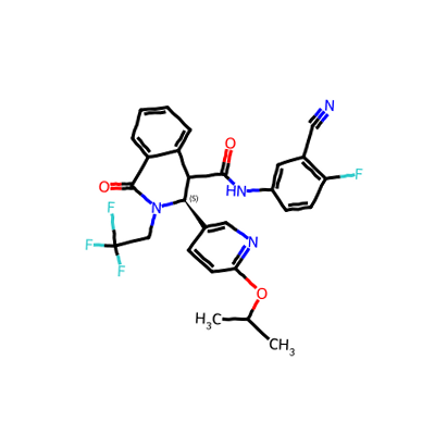 CC(C)Oc1ccc([C@@H]2C(C(=O)Nc3ccc(F)c(C#N)c3)c3ccccc3C(=O)N2CC(F)(F)F)cn1